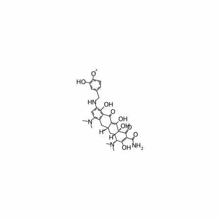 COc1ccc(CNc2cc(N(C)C)c3c(c2O)C(=O)C2=C(O)[C@]4(O)C(=O)C(C(N)=O)=C(O)[C@@H](N(C)C)[C@@H]4C[C@@H]2C3)cc1O